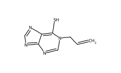 C=CCn1cnc2ncnc-2c1S